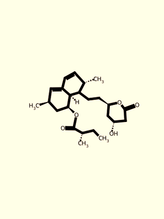 CC[C@H](C)C(=O)O[C@H]1C[C@@H](C)C=C2C=C[C@H](C)C(CC[C@@H]3C[C@@H](O)CC(=O)O3)[C@H]21